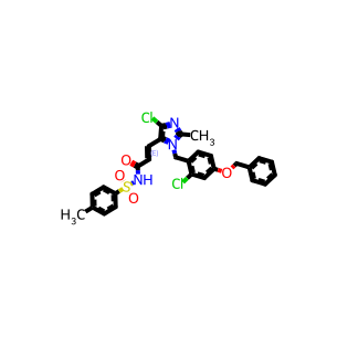 Cc1ccc(S(=O)(=O)NC(=O)/C=C/c2c(Cl)nc(C)n2Cc2ccc(OCc3ccccc3)cc2Cl)cc1